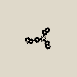 c1ccc2cc(-c3nc(-c4ccc(-c5ccc6ncccc6c5)cc4)nc(-c4ccc5ncccc5c4)n3)ccc2c1